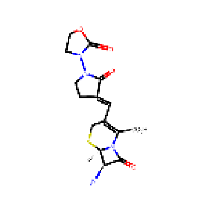 N[C@@H]1C(=O)N2C(C(=O)O)=C(/C=C3\CCN(N4CCOC4=O)C3=O)CS[C@H]12